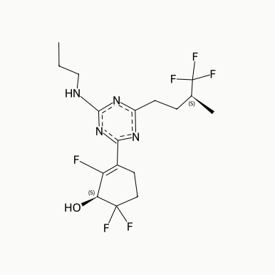 CCCNc1nc(CC[C@H](C)C(F)(F)F)nc(C2=C(F)[C@H](O)C(F)(F)CC2)n1